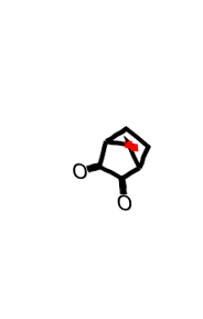 O=C1C(=O)C2CCC1C21CCCC1